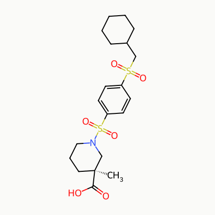 C[C@]1(C(=O)O)CCCN(S(=O)(=O)c2ccc(S(=O)(=O)CC3CCCCC3)cc2)C1